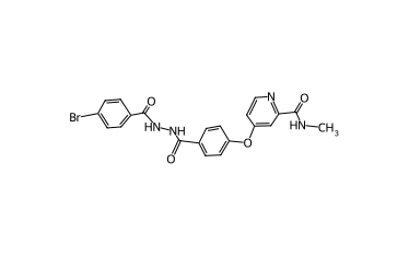 CNC(=O)c1cc(Oc2ccc(C(=O)NNC(=O)c3ccc(Br)cc3)cc2)ccn1